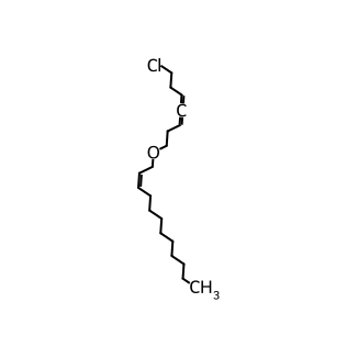 CCCCCCCCC/C=C\COCCC=C=CCCCl